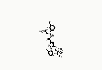 CC(C)[C@](C)(O)COc1cc(C(=O)N[C@@H](CC(=O)O)c2cccc(F)c2)nn1-c1ccccc1F